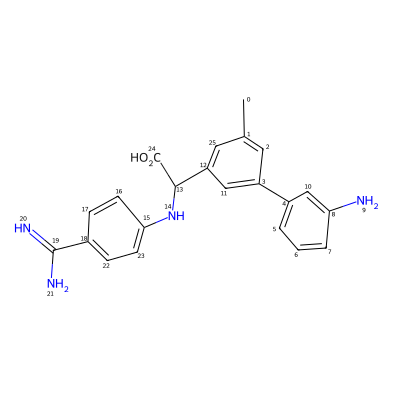 Cc1cc(-c2cccc(N)c2)cc(C(Nc2ccc(C(=N)N)cc2)C(=O)O)c1